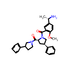 COc1ccc([C@H](C)N)cc1C(=O)N1C[C@@H](c2ccccc2)C[C@H]1C(=O)N1CCC(c2ccccc2)C1